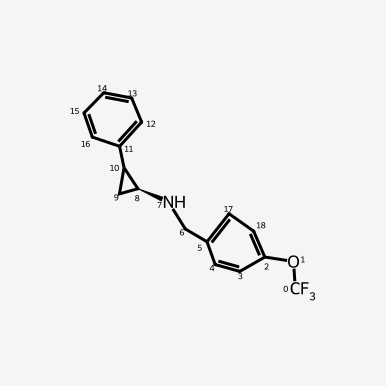 FC(F)(F)Oc1ccc(CN[C@H]2CC2c2ccccc2)cc1